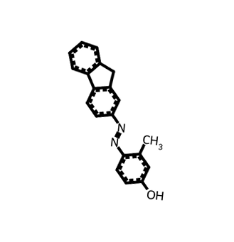 Cc1cc(O)ccc1/N=N/c1ccc2c(c1)Cc1ccccc1-2